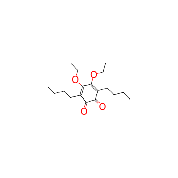 CCCCC1=C(OCC)C(OCC)=C(CCCC)C(=O)C1=O